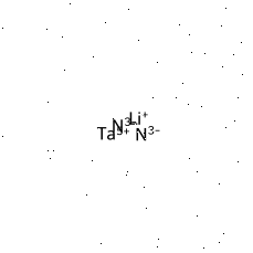 [Li+].[N-3].[N-3].[Ta+5]